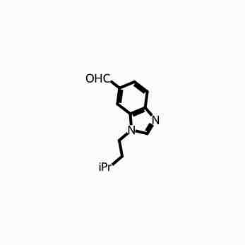 CC(C)CCn1cnc2ccc(C=O)cc21